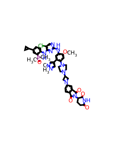 COc1cc(N2CCN(C3CN(c4ccc5c(c4)C(=O)N(C4CCC(=O)NC4=O)C5=O)C3)CC2)c(-c2cnn(C)c2)cc1Nc1ncc(Cl)c(Nc2ccc(C3CC3)cc2P(C)(C)=O)n1